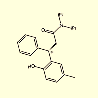 Cc1ccc(O)c([C@H](CC(=O)N(C(C)C)C(C)C)c2ccccc2)c1